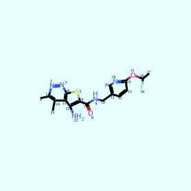 Cc1nnc2sc(C(=O)NCc3ccc(OC(C)F)nc3)c(N)c2c1C